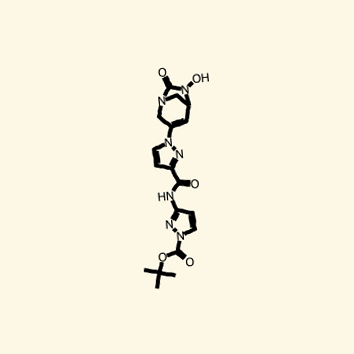 CC(C)(C)OC(=O)n1ccc(NC(=O)c2ccn(C3=CC4CN(C3)C(=O)N4O)n2)n1